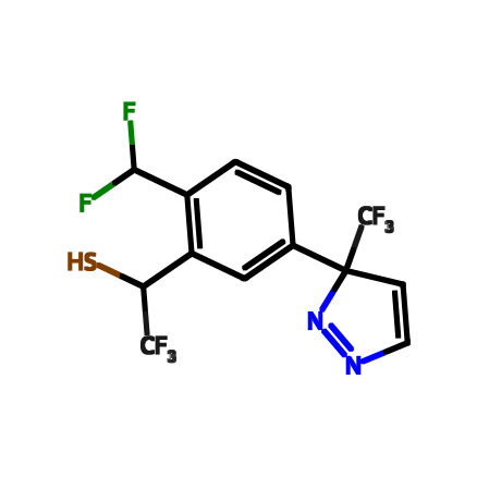 FC(F)c1ccc(C2(C(F)(F)F)C=CN=N2)cc1C(S)C(F)(F)F